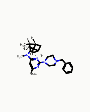 CNc1cc(N(C)[C@@H]2C[C@@H]3C[C@@H]([C@H]2C)C3(C)C)nc(N2CCN(Cc3ccccc3)CC2)n1